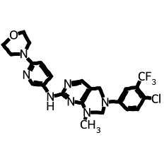 CN1CN(c2ccc(Cl)c(C(F)(F)F)c2)Cc2cnc(Nc3ccc(N4CCOCC4)nc3)nc21